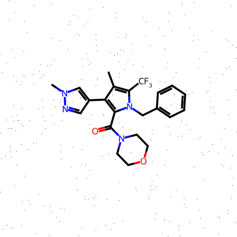 Cc1c(-c2cnn(C)c2)c(C(=O)N2CCOCC2)n(Cc2ccccc2)c1C(F)(F)F